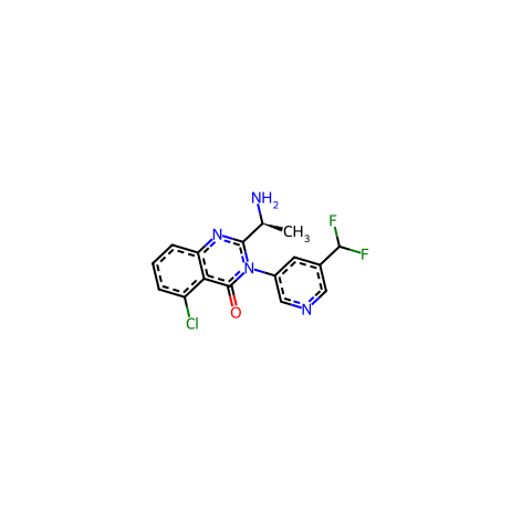 C[C@H](N)c1nc2cccc(Cl)c2c(=O)n1-c1cncc(C(F)F)c1